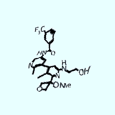 COC1(C2=NC(NCCO)=CC(c3cc(NC(=O)c4cccc(C(F)(F)F)c4)cnc3C)C2C)COC1